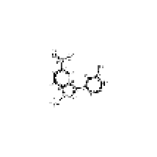 Cn1nc(-c2ccnc(F)c2)c2cc([N+](=O)[O-])ccc21